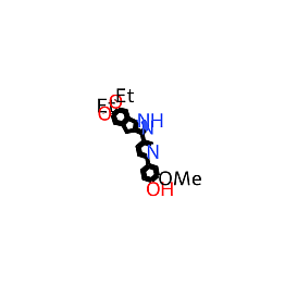 CCOc1cc2c(cc1OCC)-c1[nH]nc(-c3ccc(-c4ccc(O)c(OC)c4)nc3)c1C2